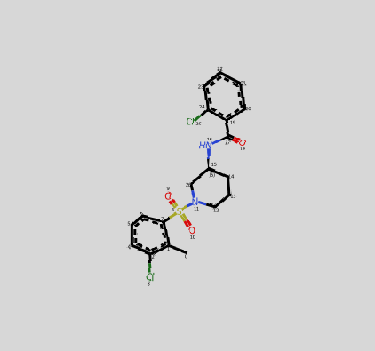 Cc1c(Cl)cccc1S(=O)(=O)N1CCC[C@H](NC(=O)c2ccccc2Cl)C1